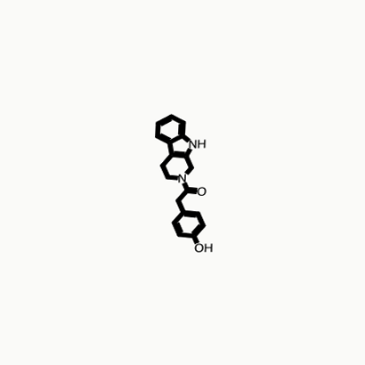 O=C(Cc1ccc(O)cc1)N1CCc2c([nH]c3ccccc23)C1